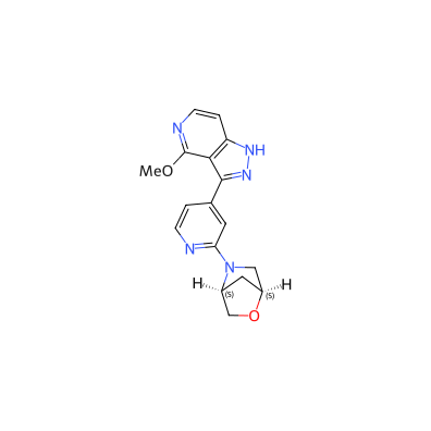 COc1nccc2[nH]nc(-c3ccnc(N4C[C@@H]5C[C@H]4CO5)c3)c12